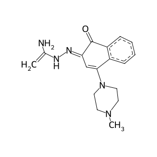 C=C(N)N/N=C1\C=C(N2CCN(C)CC2)c2ccccc2C1=O